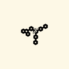 c1ccc(-c2ccc(-c3cc(-c4ccc(-c5ccccc5)cc4)nc(-c4cccc(-c5cc6ccccc6c6ccccc56)c4)n3)cc2)cc1